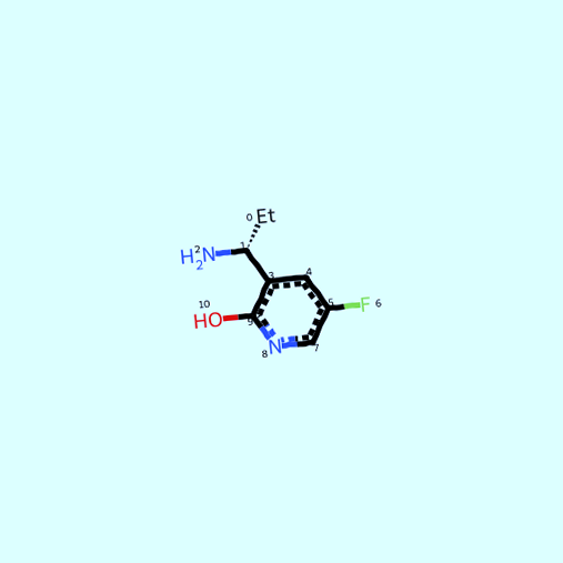 CC[C@@H](N)c1cc(F)cnc1O